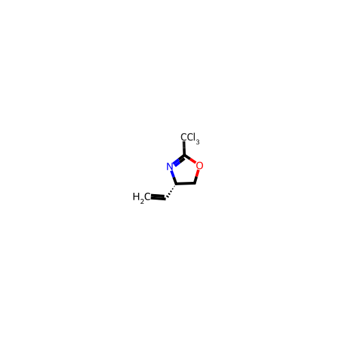 C=C[C@H]1COC(C(Cl)(Cl)Cl)=N1